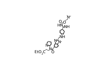 CCOC(=O)CCN(C(=O)c1ccc2c(c1)nc(CNc1ccc(C(=N)NC(=O)OCCN(C)C)cc1)n2C)c1ccccn1